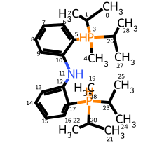 CC(C)[PH](C)(c1ccccc1Nc1ccccc1[PH](C)(C(C)C)C(C)C)C(C)C